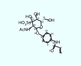 C=CC(=O)Nc1ccc(OC2O[C@@H](CO)[C@H](O)C(O)(S(=O)(=O)O)[C@@H]2NC(C)=O)cc1